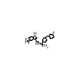 C=C(NCCc1c[nH]c2ccc(C(F)(F)F)cc12)c1ccc(Cc2cccc(F)c2)cc1